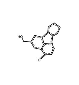 O=c1ccn2c3ccccc3c3cc(CO)cc1c32